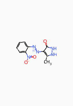 Cc1[nH][nH]c(=O)c1/N=N/c1ccccc1[N+](=O)[O-]